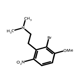 COc1ccc([N+](=O)[O-])c(CCN(C)C)c1Br